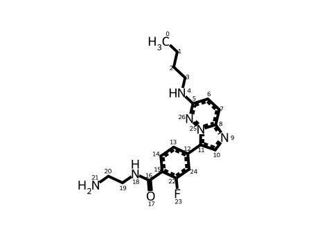 CCCCNc1ccc2ncc(-c3ccc(C(=O)NCCN)c(F)c3)n2n1